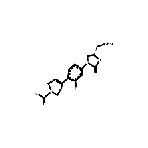 CC(=O)NC[C@H]1CN(c2ccc(C3=CCN(C(=O)C(C)=O)CC3)c(F)c2)C(=O)O1